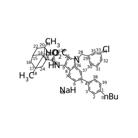 CCCCc1ccc(-c2ccc3c(NC(=O)C45CC6CC(C)(CC(C)(C6)C4)C5)c(C(=O)O)n(Cc4cccc(Cl)c4)c3c2)cc1.[NaH]